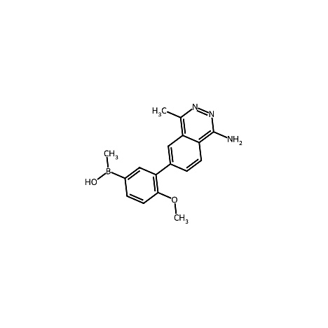 COc1ccc(B(C)O)cc1-c1ccc2c(N)nnc(C)c2c1